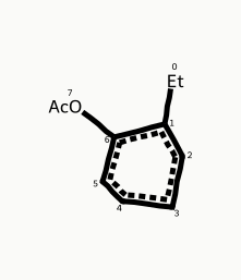 CCc1ccccc1OC(C)=O